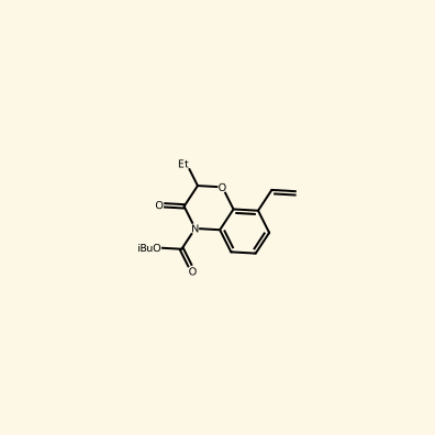 C=Cc1cccc2c1OC(CC)C(=O)N2C(=O)OCC(C)C